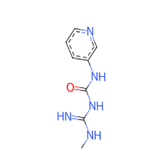 CNC(=N)NC(=O)Nc1cccnc1